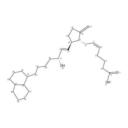 O=C(O)CCC/C=C\C[C@H]1C(=O)CC[C@@H]1/C=C/[C@H](O)CCCCC1CCCC2CCCCC21